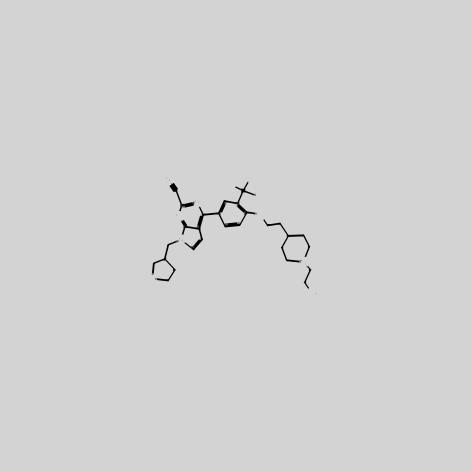 N#Cc1nc(-c2ccc(OCCC3CCN(CCO)CC3)c(C(F)(F)F)c2)c2ccn(CC3CCOC3)c2n1